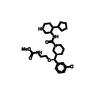 COC(=O)NCCO[C@@H](c1cccc(Cl)c1)[C@@H]1CCCN(C(=O)NC2CNCCC2C2CCCC2)C1